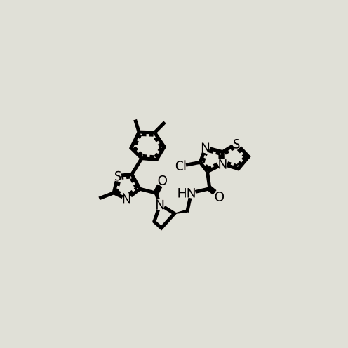 Cc1nc(C(=O)N2CC[C@@H]2CNC(=O)c2c(Cl)nc3sccn23)c(-c2ccc(C)c(C)c2)s1